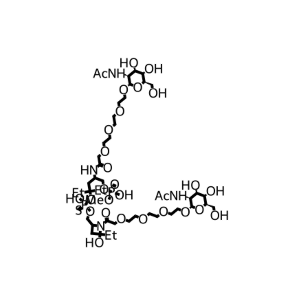 CCC(CC)(CC(COP(=O)(O)OC)NC(=O)COCCOCCOCCO[C@@H]1O[C@H](CO)[C@H](O)[C@H](O)[C@H]1NC(C)=O)OP(O)(=S)OCC1CC(O)(CC)N1C(=O)COCCOCCOCCO[C@@H]1O[C@H](CO)[C@H](O)[C@H](O)[C@H]1NC(C)=O